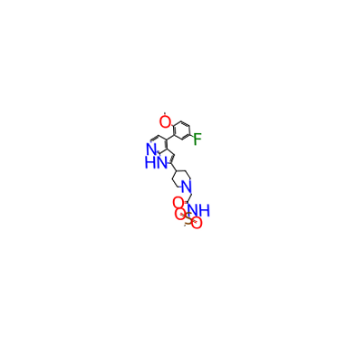 COc1ccc(F)cc1-c1ccnc2[nH]c(C3CCN(CC(=O)NS(C)(=O)=O)CC3)cc12